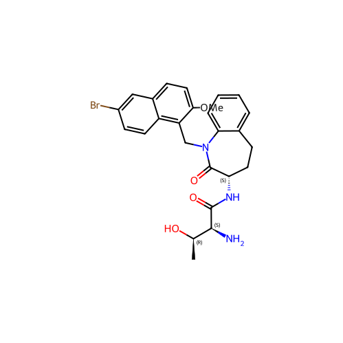 COc1ccc2cc(Br)ccc2c1CN1C(=O)[C@@H](NC(=O)[C@@H](N)[C@@H](C)O)CCc2ccccc21